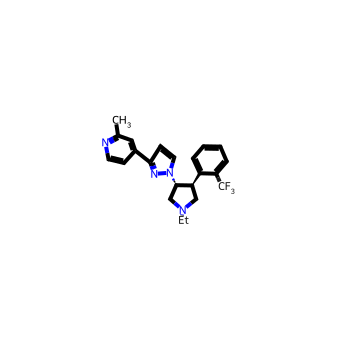 CCN1C[C@H](c2ccccc2C(F)(F)F)[C@@H](n2ccc(-c3ccnc(C)c3)n2)C1